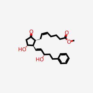 COC(=O)CCC/C=C\C[C@H]1C(=O)C[C@@H](O)[C@@H]1/C=C/[C@@H](O)CCc1ccccc1